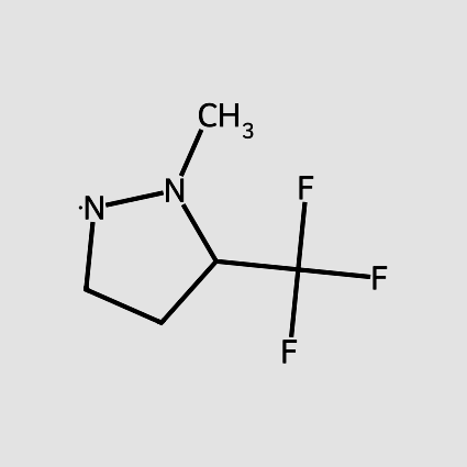 CN1[N]CCC1C(F)(F)F